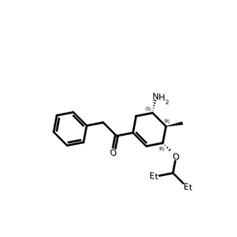 CCC(CC)O[C@@H]1C=C(C(=O)Cc2ccccc2)C[C@H](N)[C@H]1C